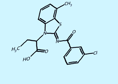 CCC(C(=O)O)n1/c(=N/C(=O)c2cccc(Cl)c2)sc2c(C)cccc21